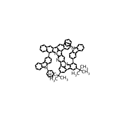 CC(C)(C)c1cc(-c2ccc3c(c2)c2ccccc2n3-c2ccccc2)c2c(c1)c1cc(C(C)(C)C)cc3c4nc5c(cc4n2c13)c1c2ccccc2cc2c3cc4ccccc4c(-c4ccc6c(c4)c4ccccc4n6-c4ccccc4)c3n5c21